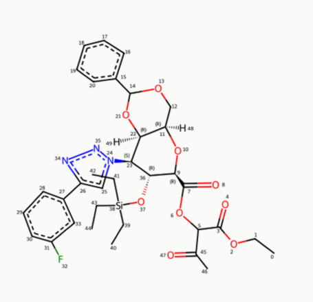 CCOC(=O)C(OC(=O)[C@@H]1O[C@@H]2COC(c3ccccc3)O[C@@H]2[C@H](n2cc(-c3cccc(F)c3)nn2)[C@H]1O[Si](CC)(CC)CC)C(C)=O